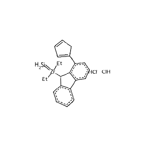 C[CH2][Zr](=[SiH2])([CH2]C)[CH]1c2ccccc2-c2cccc(C3=CC=CC3)c21.Cl.Cl